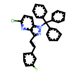 Fc1cccc(/C=C/c2nn(C(c3ccccc3)(c3ccccc3)c3ccccc3)c3ccc(Cl)nc23)c1